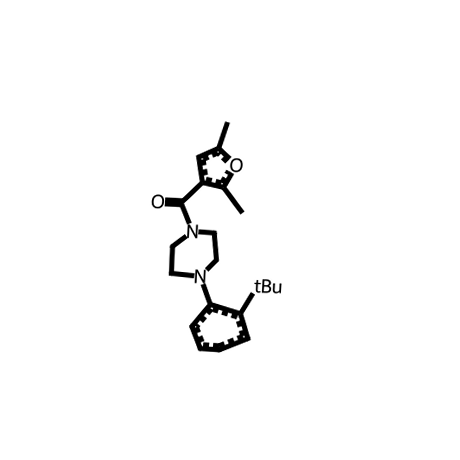 Cc1cc(C(=O)N2CCN(c3ccccc3C(C)(C)C)CC2)c(C)o1